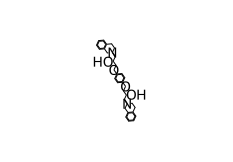 OC(COc1ccc(OCC(O)CN2CCc3ccccc3C2)cc1)CN1CCc2ccccc2C1